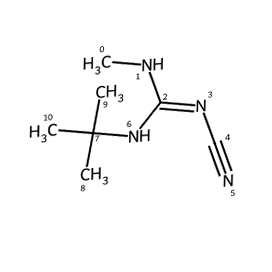 CN/C(=N/C#N)NC(C)(C)C